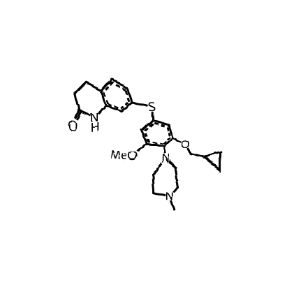 COc1cc(Sc2ccc3c(c2)NC(=O)CC3)cc(OCC2CC2)c1N1CCN(C)CC1